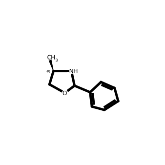 C[C@@H]1COC(c2ccccc2)N1